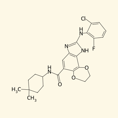 CC1(C)CCC(NC(=O)c2cc3nc(Nc4c(F)cccc4Cl)[nH]c3c3c2OCCO3)CC1